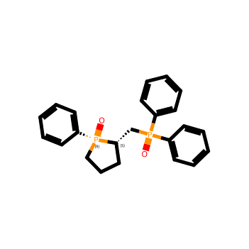 O=P(C[C@@H]1CCC[P@]1(=O)c1ccccc1)(c1ccccc1)c1ccccc1